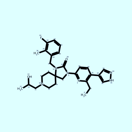 CCc1nc(N2CC3(CCN(CC(C)O)CC3)N(Cc3cccc(F)c3C)C2=O)ccc1-c1cn[nH]c1